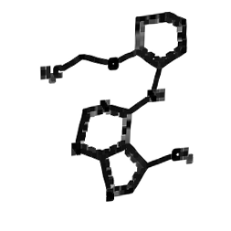 CCOc1ccccc1Nc1ncnc2scc(C)c12